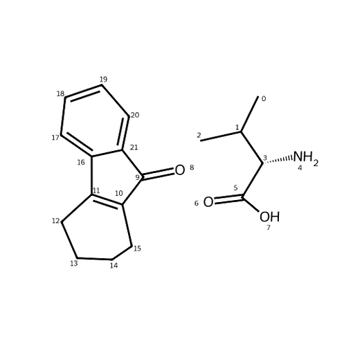 CC(C)[C@H](N)C(=O)O.O=C1C2=C(CCCC2)c2ccccc21